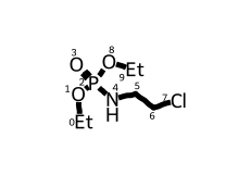 CCOP(=O)(NCCCl)OCC